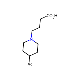 CC(=O)C1CCN(CCCC(=O)O)CC1